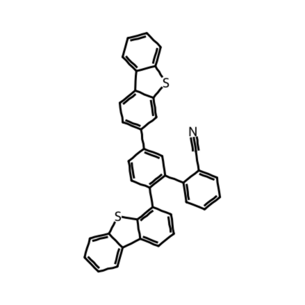 N#Cc1ccccc1-c1cc(-c2ccc3c(c2)sc2ccccc23)ccc1-c1cccc2c1sc1ccccc12